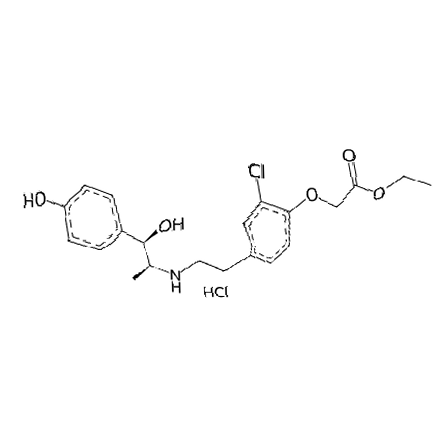 CCOC(=O)COc1ccc(CCN[C@@H](C)[C@H](O)c2ccc(O)cc2)cc1Cl.Cl